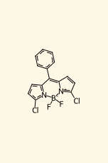 F[B-]1(F)n2c(Cl)ccc2C(c2ccccc2)=C2C=CC(Cl)=[N+]21